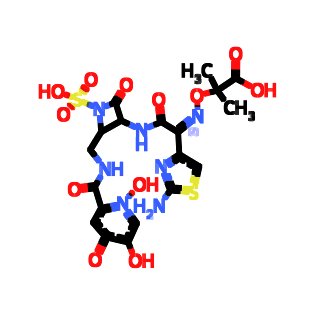 CC(C)(O/N=C(\C(=O)NC1C(=O)N(S(=O)(=O)O)C1CNC(=O)c1cc(=O)c(O)cn1O)c1csc(N)n1)C(=O)O